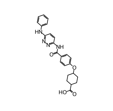 O=C(Nc1ccc(Nc2ccccc2)nn1)c1ccc(OC2CCC(C(=O)O)CC2)cc1